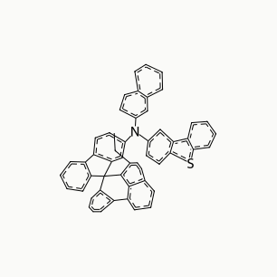 CCc1ccc2cccc3c2c1C1(c2ccccc2-c2ccc(N(c4ccc5ccccc5c4)c4ccc5sc6ccccc6c5c4)cc21)c1ccccc1-3